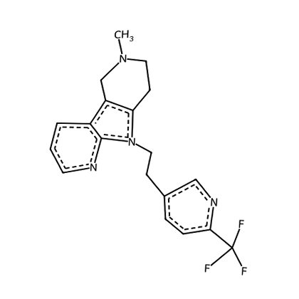 CN1CCc2c(c3cccnc3n2CCc2ccc(C(F)(F)F)nc2)C1